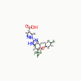 O=C(O)c1cnn(-c2nc3cc(Oc4ccc(F)cc4)c(C(F)(F)F)cc3[nH]2)c1